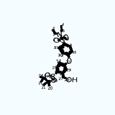 CCN(CC)S(=O)(=O)c1ccc(Oc2ccc(B3OC(C)(C)C(C)(C)O3)c(CO)c2)cc1